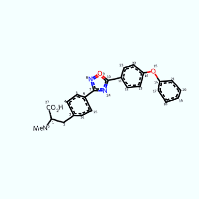 CNC(Cc1ccc(-c2noc(-c3ccc(Oc4ccccc4)cc3)n2)cc1)C(=O)O